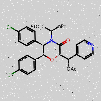 CCC[C@H](C(=O)OCC)N1C(=O)[C@H]([C@H](OC(C)=O)c2ccncc2)O[C@@H](c2ccc(Cl)cc2)[C@H]1c1ccc(Cl)cc1